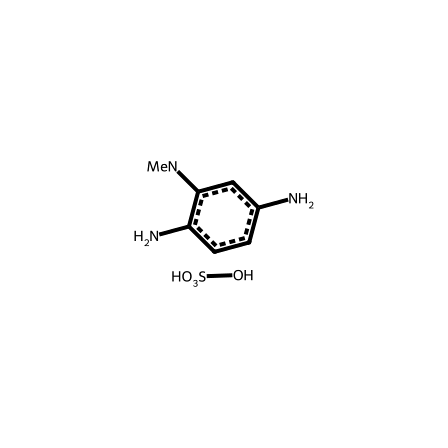 CNc1cc(N)ccc1N.O=S(=O)(O)O